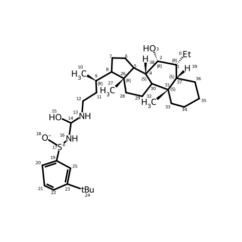 CC[C@H]1[C@@H](O)[C@H]2C3CCC([C@H](C)CCNC(O)N[S+]([O-])c4cccc(C(C)(C)C)c4)[C@@]3(C)CCC2[C@@]2(C)CCCC[C@@H]12